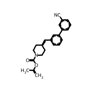 C=C(C)OC(=O)N1CCC(=Cc2cccc(-c3cccc(C#N)c3)c2)CC1